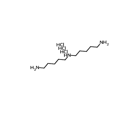 Cl.Cl.Cl.NCCCCCNCCCCCN